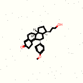 COc1ccc([C@H]2C[C@]3(C)[C@H](CCCO)CC[C@H]3[C@@H]3CCC4=CC(=O)CCC4=C32)cc1